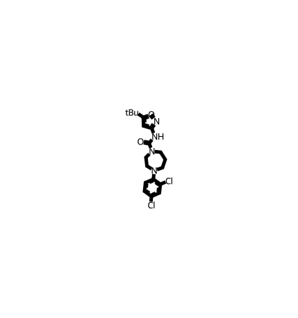 CC(C)(C)c1cc(NC(=O)N2CCCN(c3ccc(Cl)cc3Cl)CC2)no1